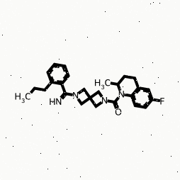 CCCc1ccccc1C(=N)N1CC2(C1)CN(C(=O)N1c3ccc(F)cc3CCC1C)C2